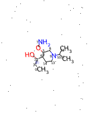 C/C=C(/O)C1=C(ON)CN(C(C)C)CC1